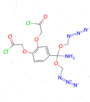 [N-]=[N+]=NCOC(N)(OCN=[N+]=[N-])c1ccc(OCC(=O)Cl)c(OCC(=O)Cl)c1